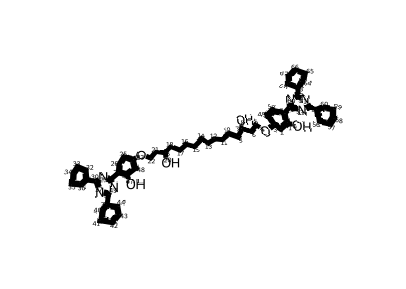 Oc1cc(OCCC(O)CCCCCCCCCCC(O)CCOc2ccc(-c3nc(-c4ccccc4)nc(-c4ccccc4)n3)c(O)c2)ccc1-c1nc(-c2ccccc2)nc(-c2ccccc2)n1